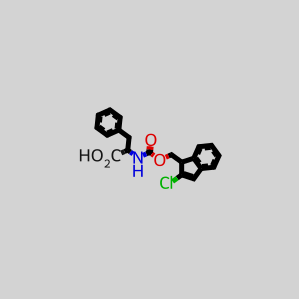 O=C(NC(Cc1ccccc1)C(=O)O)OCC1C(Cl)=Cc2ccccc21